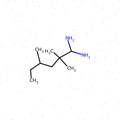 CCC(C)CC(C)(C)C(N)N